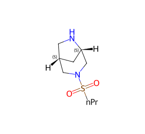 CCCS(=O)(=O)N1C[C@@H]2CN[C@@H](C2)C1